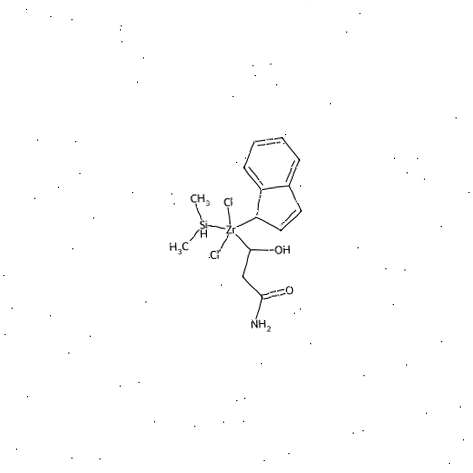 C[SiH](C)[Zr]([Cl])([Cl])([CH](O)CC(N)=O)[CH]1C=Cc2ccccc21